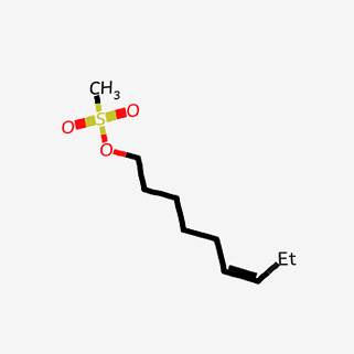 CC/C=C\CCCCCOS(C)(=O)=O